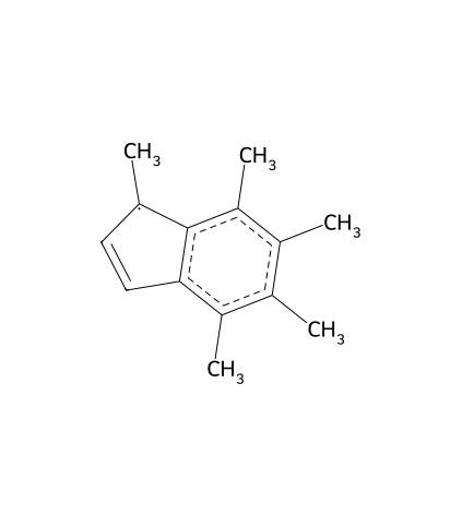 C[C]1C=Cc2c(C)c(C)c(C)c(C)c21